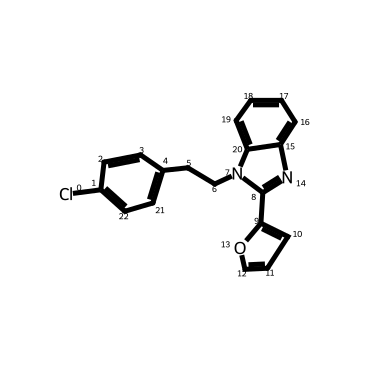 Clc1ccc(CCn2c(-c3ccco3)nc3ccccc32)cc1